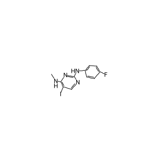 CNc1nc(Nc2ccc(F)cc2)ncc1I